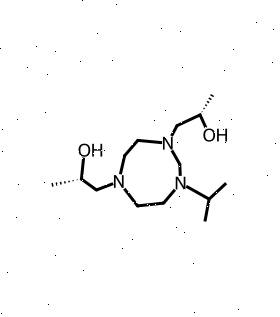 CC(C)N1CCN(C[C@H](C)O)CCN(C[C@H](C)O)C1